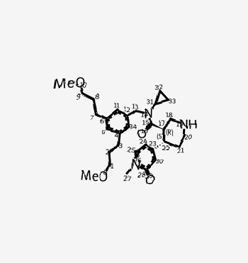 COCCCc1cc(CCCOC)cc(CN(C(=O)[C@H]2CNCC[C@@H]2c2ccn(C)c(=O)c2)C2CC2)c1